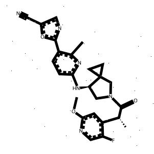 COc1cc([C@@H](C)C(=O)N2C[C@@H](Nc3ccc(-c4ncc(C#N)o4)c(C)n3)C3(CC3)C2)c(F)cn1